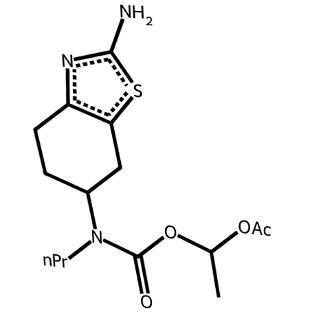 CCCN(C(=O)OC(C)OC(C)=O)C1CCc2nc(N)sc2C1